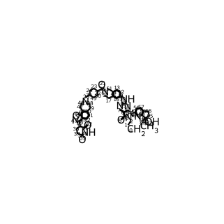 C=CCn1c(=O)c2cnc(Nc3ccc4c(c3)CCN(C(=O)C3CCC(CN5CCc6ccc7c(C8CCC(=O)NC8=O)noc7c6CC5)CC3)C4)nc2n1-c1ccc2c(n1)[C@@](O)(CC)CC2